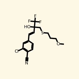 COCCCSCC(O)(/C=C/c1ccc(C#N)c(Cl)c1)C(F)(F)F